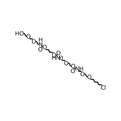 O=C(NCCOCCOCCO)OC/C=C/COC(=O)NOCCOCCOC(=O)NCCOCCOCCCCCCCl